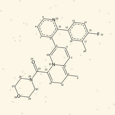 CC1=C2C=CC(c3cccnc3-c3ccc(F)c(C)c3)=CN2C(C(=O)N2CCOCC2)=CC1